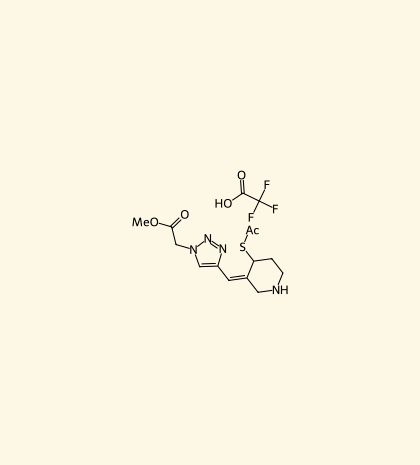 COC(=O)Cn1cc(C=C2CNCCC2SC(C)=O)nn1.O=C(O)C(F)(F)F